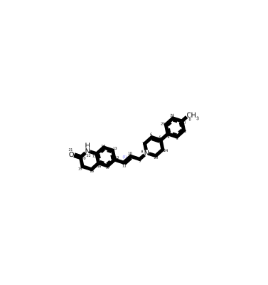 Cc1ccc(C2=CCN(C/C=C/c3ccc4c(c3)CCC(=O)N4)CC2)cc1